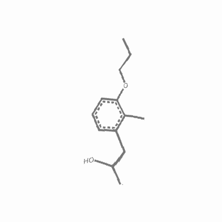 [CH2]C(O)Cc1cccc(OCCC)c1C